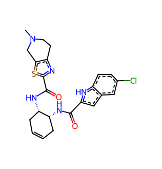 CN1CCc2nc(C(=O)N[C@H]3CC=CC[C@H]3NC(=O)c3cc4cc(Cl)ccc4[nH]3)sc2C1